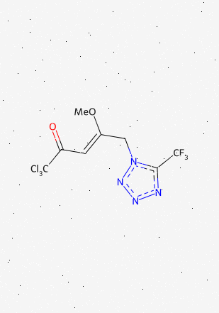 COC(=CC(=O)C(Cl)(Cl)Cl)Cn1nnnc1C(F)(F)F